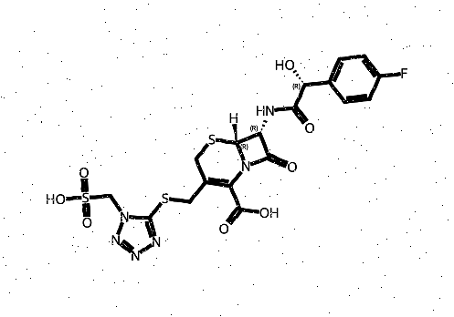 O=C(O)C1=C(CSc2nnnn2CS(=O)(=O)O)CS[C@@H]2[C@H](NC(=O)[C@H](O)c3ccc(F)cc3)C(=O)N12